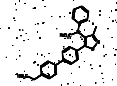 CCOC(=O)N(c1ccccc1)c1c(C)noc1-c1ccc(-c2ccc(CC(=O)O)cc2)cc1